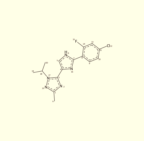 Cc1nc(-c2c[nH]c(-c3ccc(Cl)cc3F)n2)n(C(C)C)n1